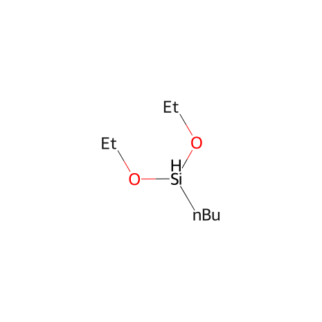 CCCC[SiH](OCC)OCC